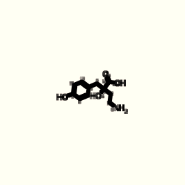 NCCC(O)(Cc1ccc(O)cc1)C(=O)O